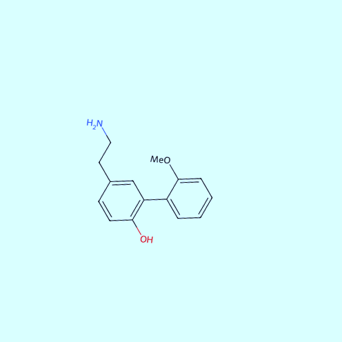 COc1ccccc1-c1cc(CCN)ccc1O